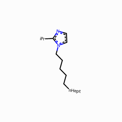 CCCCCCCCCCCCn1ccnc1C(C)C